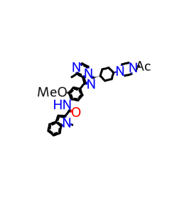 COc1cc(-c2nc([C@H]3CC[C@H](N4CCN(C(C)=O)CC4)CC3)n3ccnc(C)c23)ccc1NC(=O)c1cc2ccccc2n1C